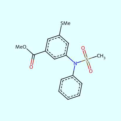 COC(=O)c1cc(SC)cc(N(c2ccccc2)S(C)(=O)=O)c1